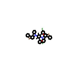 Cc1c(-c2cccc(F)c2)c(-n2c3ccccc3c3c4c(ccc32)sc2ccccc24)c(-c2cccc(F)c2)c(C)c1-n1c2ccccc2c2c3c(ccc21)sc1ccccc13